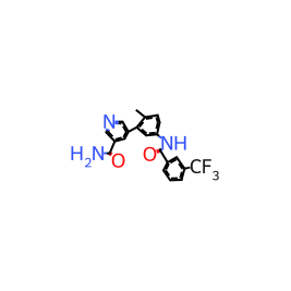 Cc1ccc(NC(=O)c2cccc(C(F)(F)F)c2)cc1-c1cncc(C(N)=O)c1